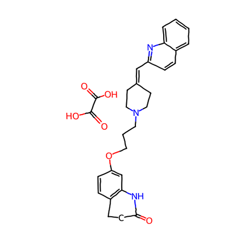 O=C(O)C(=O)O.O=C1CCc2ccc(OCCCN3CCC(=Cc4ccc5ccccc5n4)CC3)cc2N1